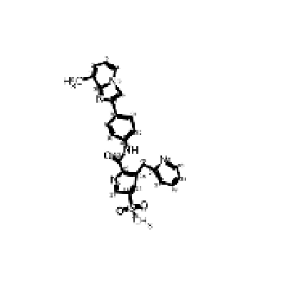 Cc1cccn2cc(-c3ccc(NC(=O)c4ncc(S(C)(=O)=O)cc4Cc4ccccn4)cc3)nc12